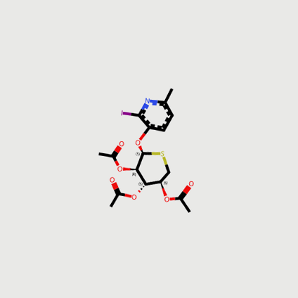 CC(=O)O[C@@H]1[C@@H](OC(C)=O)[C@@H](Oc2ccc(C)nc2I)SC[C@H]1OC(C)=O